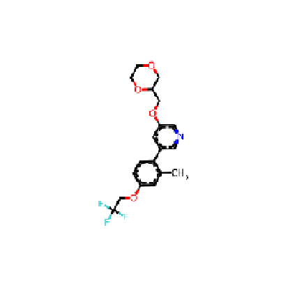 Cc1cc(OCC(F)(F)F)ccc1-c1cncc(OCC2COCCO2)c1